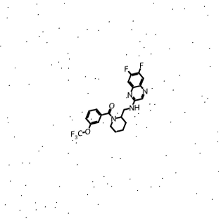 O=C(c1cccc(OC(F)(F)F)c1)N1CCCCC1CNc1cnc2cc(F)c(F)cc2n1